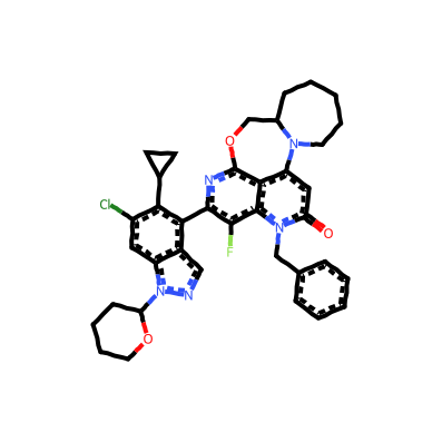 O=c1cc2c3c(nc(-c4c(C5CC5)c(Cl)cc5c4cnn5C4CCCCO4)c(F)c3n1Cc1ccccc1)OCC1CCCCCN21